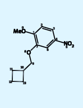 COc1ccc([N+](=O)[O-])cc1OCC1CCC1